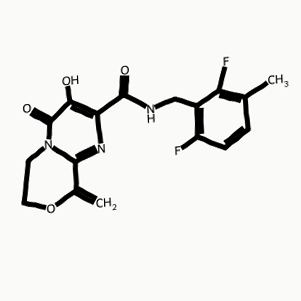 C=C1OCCn2c1nc(C(=O)NCc1c(F)ccc(C)c1F)c(O)c2=O